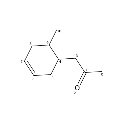 CC(=O)CC1CC=CCC1C